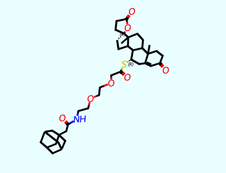 CC12CCC(=O)C=C1C[C@@H](SC(=O)COCCOCCNC(=O)CC13CC4CC(CC(C4)C1)C3)C1C2CCC2(C)C1CC[C@@]21CCC(=O)O1